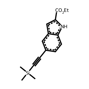 CCOC(=O)c1cc2cc(C#C[Si](C)(C)C)ccc2[nH]1